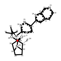 CN(c1ncc(-c2cc3ccncc3s2)nn1)[C@H]1CC2CCC([C@H]1F)N2C(=O)OC(C)(C)C